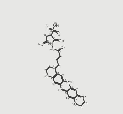 O=C(CCCN1CCOc2cc3c(cc21)Oc1cc2c(cc1=N3)OCCN=2)ON1C(=O)CC(S(=O)(=O)O)C1=O